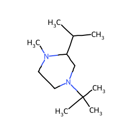 CC(C)C1CN(C(C)(C)C)CCN1C